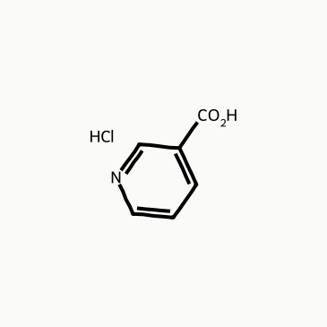 Cl.O=C(O)c1cccnc1